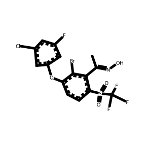 C/C(=N\O)c1c(S(=O)(=O)C(F)(F)F)ccc(Oc2cc(F)cc(Cl)c2)c1Br